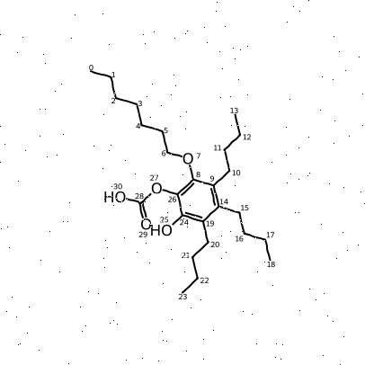 CCCCCCCOc1c(CCCC)c(CCCC)c(CCCC)c(O)c1OC(=O)O